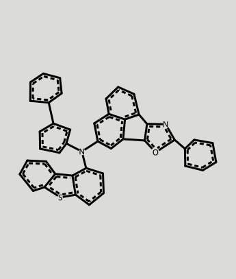 c1ccc(-c2cccc(N(c3cc4c5c(cccc5c3)-c3nc(-c5ccccc5)oc3-4)c3cccc4sc5ccccc5c34)c2)cc1